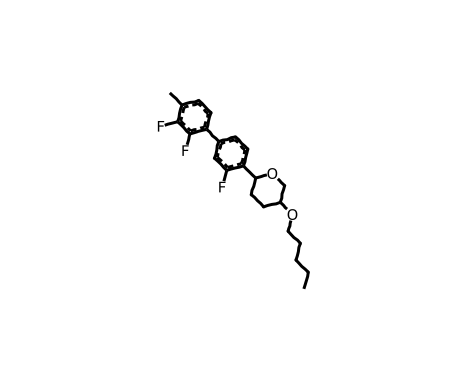 CCCCCOC1CCC(c2ccc(-c3ccc(C)c(F)c3F)cc2F)OC1